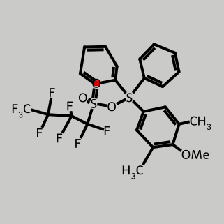 COc1c(C)cc(S(OS(=O)(=O)C(F)(F)C(F)(F)C(F)(F)C(F)(F)F)(c2ccccc2)c2ccccc2)cc1C